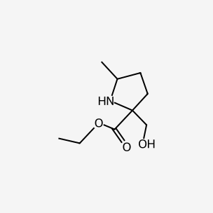 CCOC(=O)C1(CO)CCC(C)N1